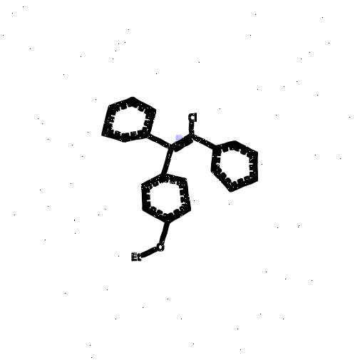 CCOc1ccc(/C(=C(/Cl)c2ccccc2)c2ccccc2)cc1